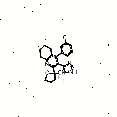 CC1(c2nc3c(c(-c4cccc(Cl)c4)c2-c2nn[nH]n2)CCCC3)CCCO1